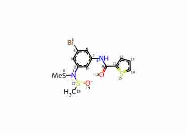 CSN(c1cc(Br)cc(NC(=O)c2cccs2)c1)[S+](C)[O-]